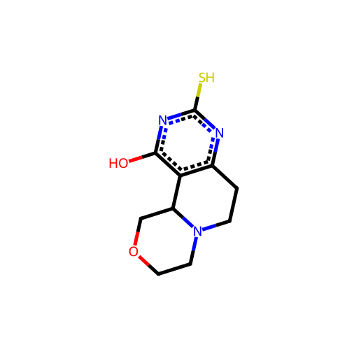 Oc1nc(S)nc2c1C1COCCN1CC2